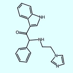 O=C(c1c[nH]c2ccccc12)C(NCCn1ccnc1)c1ccccc1